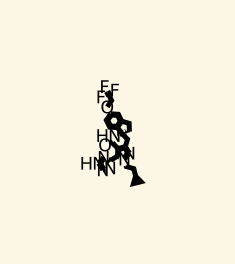 O=C1N[C@@]2(CCc3cc(OCC(F)(F)F)ccc32)Cc2nn(CCC3CC3)c(-c3nn[nH]n3)c21